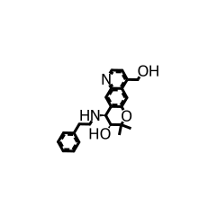 CC1(C)Oc2cc3c(CO)ccnc3cc2[C@H](NCCc2ccccc2)[C@H]1O